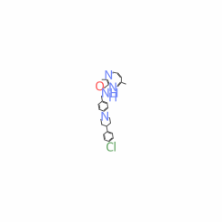 Cc1cccnc(C)c(C(=O)NCc2ccc(N3CCC(c4ccc(Cl)cc4)CC3)cc2)[nH]c1